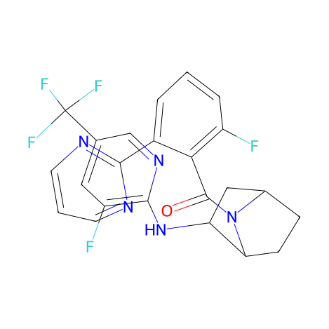 O=C(c1c(F)cccc1-c1ncccn1)N1C2CCC1C(Nc1ncc(C(F)(F)F)cc1F)C2